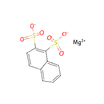 O=S(=O)([O-])c1ccc2ccccc2c1S(=O)(=O)[O-].[Mg+2]